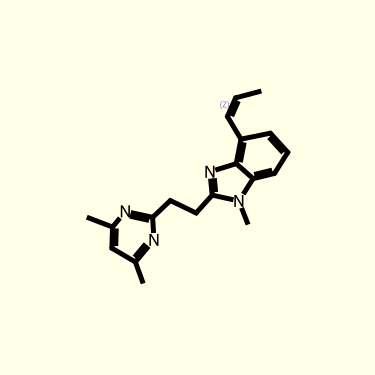 C/C=C\c1cccc2c1nc(CCc1nc(C)cc(C)n1)n2C